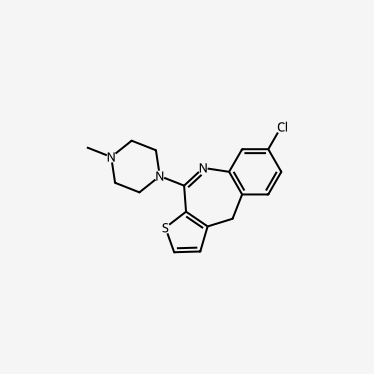 CN1CCN(C2=Nc3cc(Cl)ccc3Cc3ccsc32)CC1